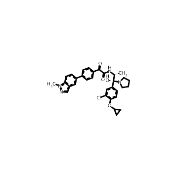 C[C@@H](NC(=O)C(=O)c1ccc(-c2ccc3c(cnn3C)c2)cc1)[C@](O)(c1ccc(OC2CC2)c(Cl)c1)N1CCCC1